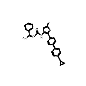 CC(OC(=O)Nc1cc(Cl)sc1-c1ccc(-c2ccc(C3CC3)cc2)cc1)c1ccccc1